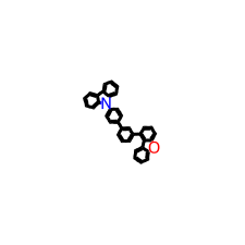 c1cc(-c2ccc(-n3c4ccccc4c4ccccc43)cc2)cc(-c2cccc3oc4ccccc4c23)c1